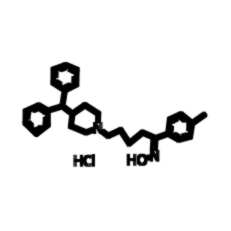 Cc1ccc(C(CCCCN2CCC(C(c3ccccc3)c3ccccc3)CC2)=NO)cc1.Cl